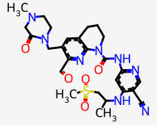 CC(CS(C)(=O)=O)Nc1cc(NC(=O)N2CCCc3cc(CN4CCN(C)CC4=O)c(C=O)nc32)ncc1C#N